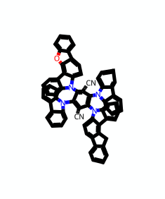 N#Cc1c(-n2c3ccccc3c3ccccc32)c(-n2c3ccccc3c3c4oc5ccccc5c4ccc32)c(C#N)c(-n2c3ccccc3c3ccccc32)c1-n1c2ccccc2c2c3c(ccc21)-c1ccccc1C3